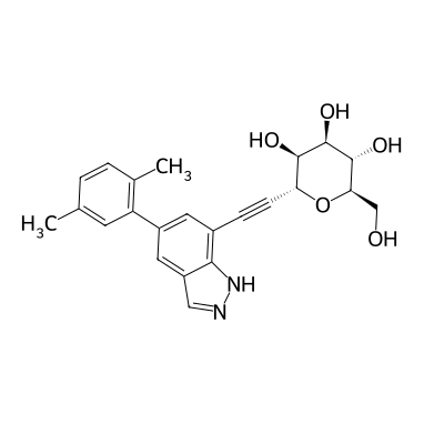 Cc1ccc(C)c(-c2cc(C#C[C@H]3O[C@H](CO)[C@@H](O)[C@H](O)[C@@H]3O)c3[nH]ncc3c2)c1